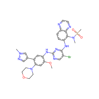 COc1cc(N2CCOCC2)c(-c2cnn(C)c2)cc1Nc1ncc(Br)c(Nc2ccc3nccnc3c2N(C)S(C)(=O)=O)n1